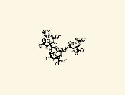 O=C([O-])CC(O)(CC(=O)[O-])C(=O)[O-].O=C([O-])CC(O)(CC(=O)[O-])C(=O)[O-].O=C([O-])CC(O)(CC(=O)[O-])C(=O)[O-].[Al+3].[Al+3].[Al+3]